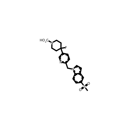 CS(=O)(=O)c1ccc2c(ccn2Cc2ccc(C3(F)CCN(C(=O)O)CC3)cn2)c1